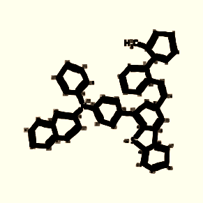 Cc1ccccc1-c1ccccc1/C=C\c1cc(-c2ccc(N(c3ccccc3)c3ccc4ccccc4c3)cc2)c2sc3ccccc3c2c1